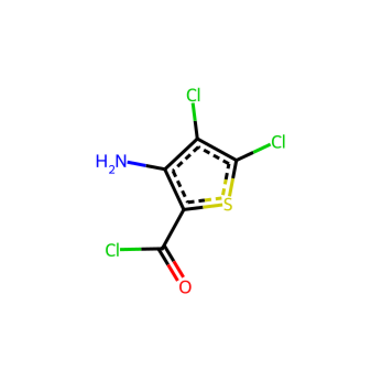 Nc1c(C(=O)Cl)sc(Cl)c1Cl